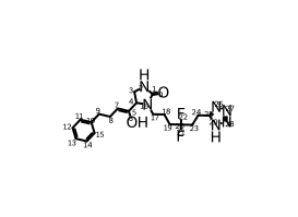 O=C1NCC(C(O)=CCCc2ccccc2)N1CCCC(F)(F)CCc1nnn[nH]1